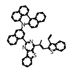 C=Cc1c(/C=C(\C)c2nc(-c3cc(N4c5ccc6ccccc6c5-c5cccc6cccc4c56)cc4ccccc34)nc3c2sc2ccccc23)sc2ccccc12